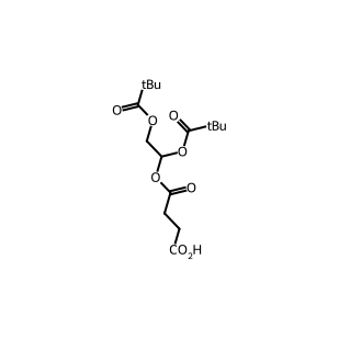 CC(C)(C)C(=O)OCC(OC(=O)CCC(=O)O)OC(=O)C(C)(C)C